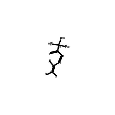 C=C(/C=C\C(C)=C(C)C)C(F)(F)F